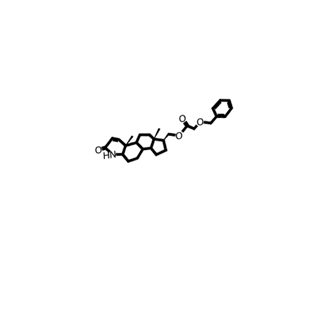 C[C@]12C=CC(=O)NC1CCC1C2CC[C@@]2(C)C1CC[C@@H]2COC(=O)COCc1ccccc1